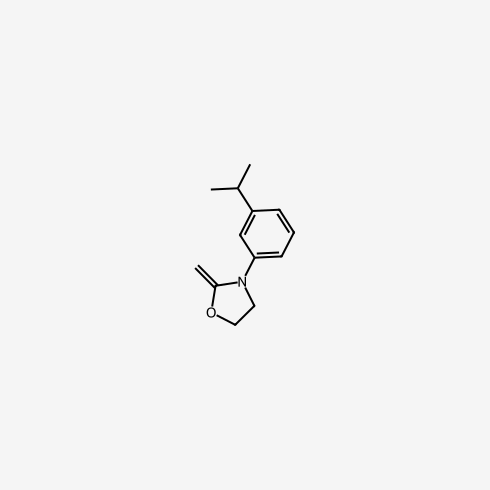 C=C1OCCN1c1cccc(C(C)C)c1